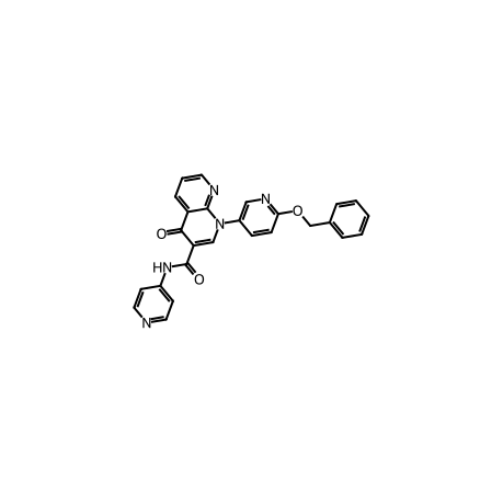 O=C(Nc1ccncc1)c1cn(-c2ccc(OCc3ccccc3)nc2)c2ncccc2c1=O